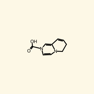 O=C(O)N1C=CN2CCC=CC2=C1